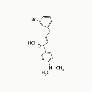 CN(C)c1ccc(C(=O)C=CCc2cccc(Br)c2)cc1.Cl